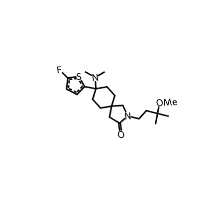 COC(C)(C)CCN1CC2(CCC(c3ccc(F)s3)(N(C)C)CC2)CC1=O